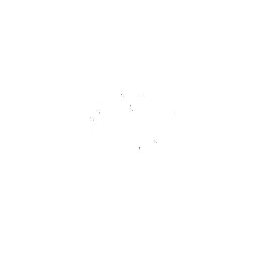 COc1ccc([C@@H](C)[C@H](C)COc2nc(C)ncc2-c2cc(OC)nn2C)nc1